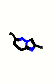 CCc1cn2nc(C(C)=O)ccc2n1